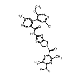 COc1cnc(Cl)cc1-c1cc(C)ncc1C(=O)Nc1nc2c(s1)CN(C(=O)c1nc(C)c(C(F)F)nc1C)C2